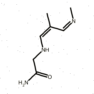 C/N=C\C(C)=C/NCC(N)=O